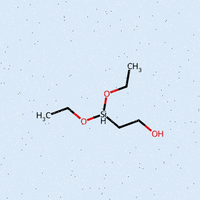 CCO[SiH](CCO)OCC